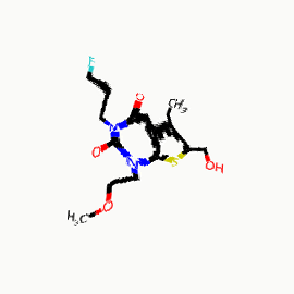 COCCn1c(=O)n(CCCF)c(=O)c2c(C)c(CO)sc21